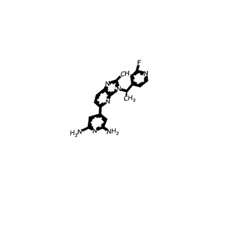 Cc1nc2ccc(-c3cc(N)nc(N)c3)nc2n1[C@H](C)c1ccnc(F)c1